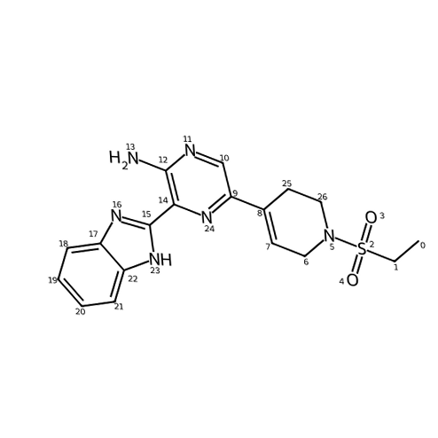 CCS(=O)(=O)N1CC=C(c2cnc(N)c(-c3nc4ccccc4[nH]3)n2)CC1